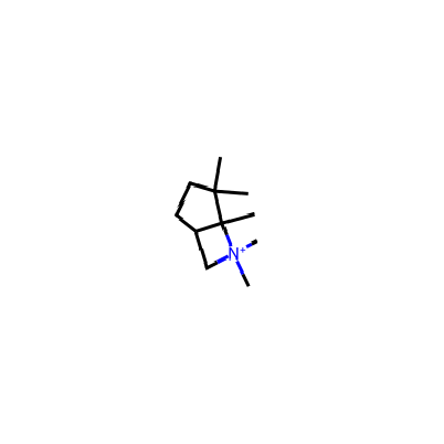 CC1(C)CCC2C[N+](C)(C)C21C